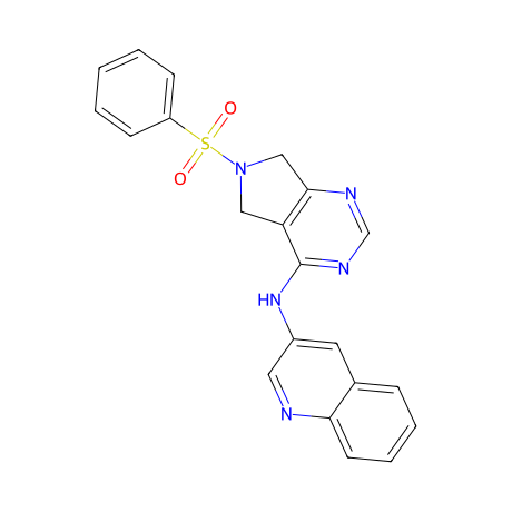 O=S(=O)(c1ccccc1)N1Cc2ncnc(Nc3cnc4ccccc4c3)c2C1